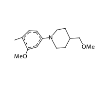 COCC1CCN(c2ccc(C)c(OC)c2)CC1